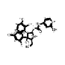 CC(C)(C)C[C@@H]1N[C@H](OC(=O)Nc2ccnc(O)c2)[C@H](c2cccc(Cl)c2F)[C@@]1(C#N)c1ccc(Cl)cc1F